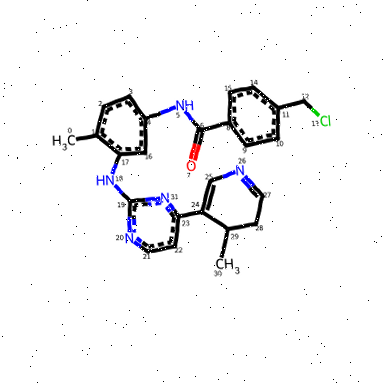 Cc1ccc(NC(=O)c2ccc(CCl)cc2)cc1Nc1nccc(C2=CN=CCC2C)n1